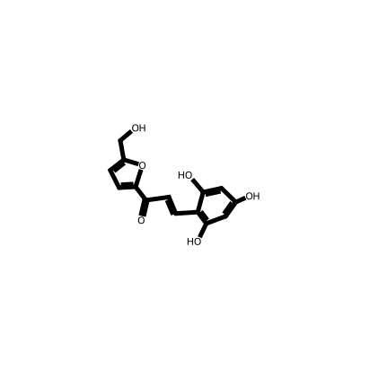 O=C(C=Cc1c(O)cc(O)cc1O)c1ccc(CO)o1